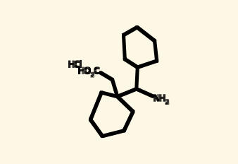 Cl.NC(C1CCCCC1)C1(CC(=O)O)CCCCC1